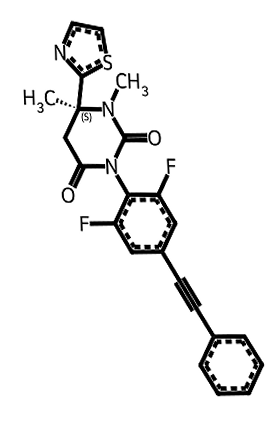 CN1C(=O)N(c2c(F)cc(C#Cc3ccccc3)cc2F)C(=O)C[C@@]1(C)c1nccs1